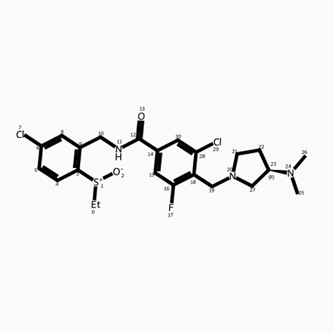 CC[S+]([O-])c1ccc(Cl)cc1CNC(=O)c1cc(F)c(CN2CC[C@@H](N(C)C)C2)c(Cl)c1